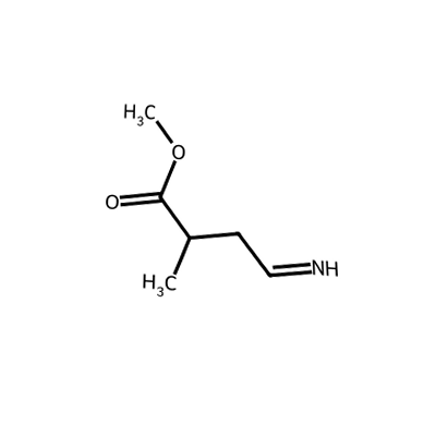 COC(=O)C(C)CC=N